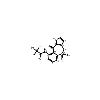 CCC(C)(O)C(=O)Nc1cccc2c1C(=O)c1sccc1CS2(=O)=O